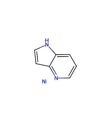 [N].c1cnc2cc[nH]c2c1